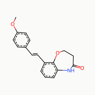 COc1ccc(/C=C/c2cccc3c2OCCC(=O)N3)cc1